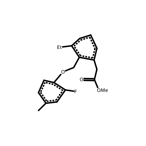 CCc1cccc(CC(=O)OC)c1COc1ccc(C)cc1F